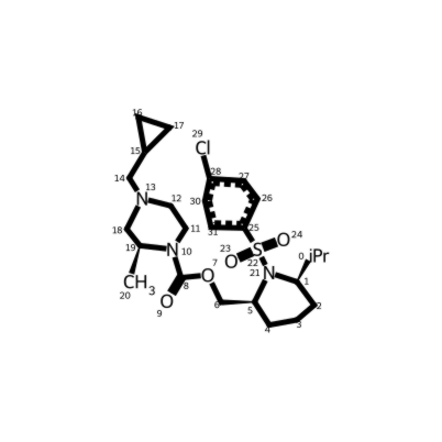 CC(C)[C@H]1CCC[C@@H](COC(=O)N2CCN(CC3CC3)C[C@@H]2C)N1S(=O)(=O)c1ccc(Cl)cc1